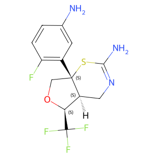 NC1=NC[C@H]2[C@@H](C(F)(F)F)OC[C@]2(c2cc(N)ccc2F)S1